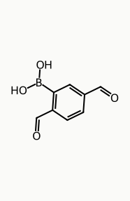 O=Cc1ccc(C=O)c(B(O)O)c1